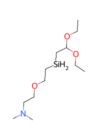 CCOC(C[SiH2]CCOCCN(C)C)OCC